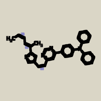 C/C=C\C=C(/C)c1cc(/C=C\c2cc(-c3ccc(N(c4ccccc4)c4ccccc4)cc3)ncn2)cs1